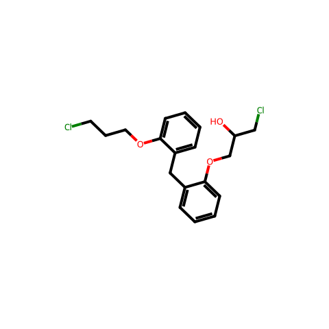 OC(CCl)COc1ccccc1Cc1ccccc1OCCCCl